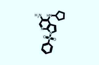 Nc1cnc2c(ccn2S(=O)(=O)c2ccccc2)c1NC1CCCC1